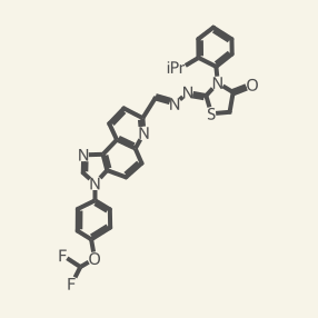 CC(C)c1ccccc1N1C(=O)CSC1=NN=Cc1ccc2c(ccc3c2ncn3-c2ccc(OC(F)F)cc2)n1